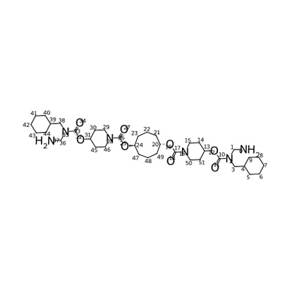 NCN(CC1CCCCC1)C(=O)OC1CCN(C(=O)O[C@H]2CCC[C@H](OC(=O)N3CCC(OC(=O)N(CN)CC4CCCCC4)CC3)CCC2)CC1